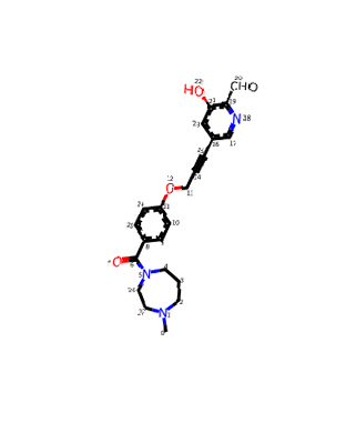 CN1CCCN(C(=O)c2ccc(OCC#Cc3cnc(C=O)c(O)c3)cc2)CC1